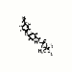 CC(C)(C)OC(=O)NCc1ccc(Oc2ccc(C#N)cc2)cc1